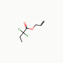 C=CCOC(=O)C(F)(F)CC